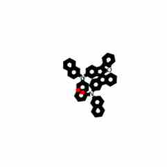 c1ccc(N(c2ccc3c(c2)-c2ccccc2C32c3cc(N(c4ccccc4)c4ccc5ccccc5c4)ccc3-c3c2oc2ccccc32)c2ccc3ccccc3c2)cc1